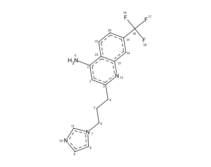 Nc1cc(CCCn2ccnc2)nc2cc(C(F)(F)F)ccc12